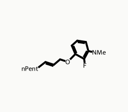 CCCCC/C=C/COc1cccc(NC)c1F